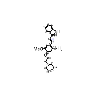 COc1cc(/C=C/c2n[nH]c3ccccc23)c(N)cc1OCCN1CCOCC1